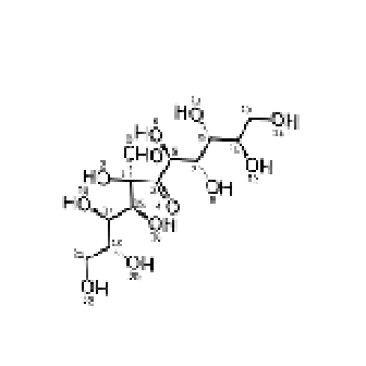 O=C[C@](O)(C(=O)[C@@H](O)[C@@H](O)[C@H](O)[C@H](O)CO)[C@@H](O)[C@H](O)[C@H](O)CO